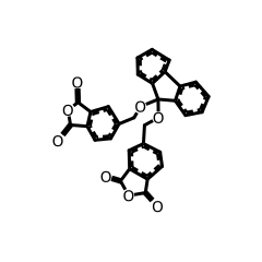 O=C1OC(=O)c2cc(COC3(OCc4ccc5c(c4)C(=O)OC5=O)c4ccccc4-c4ccccc43)ccc21